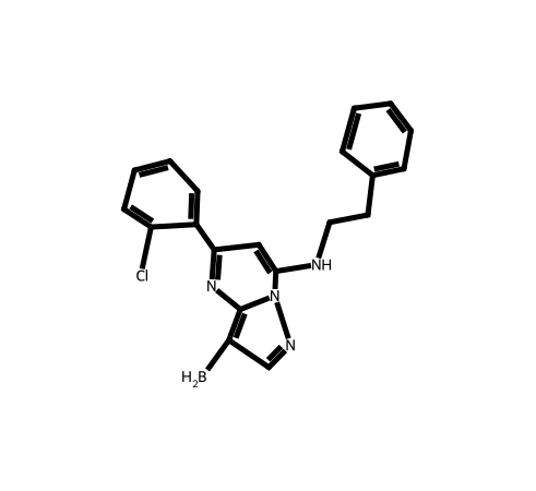 Bc1cnn2c(NCCc3ccccc3)cc(-c3ccccc3Cl)nc12